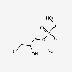 O=P([O-])(OO)OCC(O)CCl.[Na+]